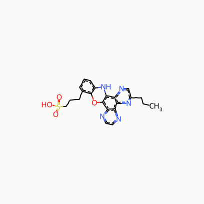 CCCc1cnc2c3c(c4nccnc4c2n1)Oc1c(CCCS(=O)(=O)O)cccc1N3